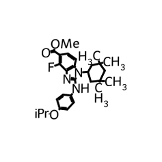 COC(=O)c1ccc2c(nc(Nc3ccc(OC(C)C)cc3)n2C2CC(C)(C)CC(C)(C)C2)c1F